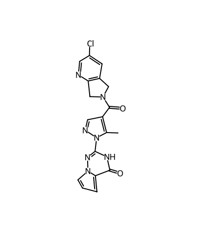 Cc1c(C(=O)N2Cc3cc(Cl)cnc3C2)cnn1-c1nn2cccc2c(=O)[nH]1